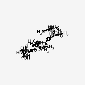 CC(=O)N[C@@H](CCCCN)C(=O)N[C@H](C(=O)N[C@@H](CCCNC(N)=O)CNc1ccc(COC(=O)N(C)CCN(C)C(=O)Oc2cc3c(c4c(C)c[nH]c24)[C@H](CCl)CN3C(=O)C23CC(C(=O)N4C[C@@H](CCl)c5c4cc(OP(=O)(O)O)c4[nH]cc(C)c54)(C2)C3)cc1)C(C)C